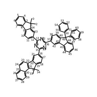 CC1(C)c2ccccc2-c2ccc(-c3nc(-c4ccc5c(c4)-c4ccc6ccccc6c4C5(C)C)nc(-c4ccc5c(c4)-c4ccccc4C5(c4ccccc4)c4ccccc4)n3)cc21